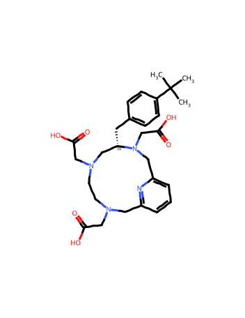 CC(C)(C)c1ccc(C[C@H]2CN(CC(=O)O)CCN(CC(=O)O)Cc3cccc(n3)CN2CC(=O)O)cc1